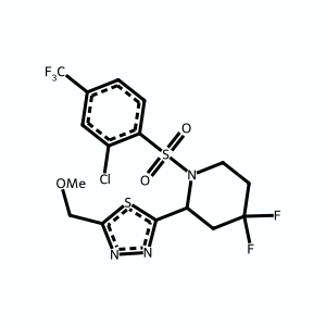 COCc1nnc(C2CC(F)(F)CCN2S(=O)(=O)c2ccc(C(F)(F)F)cc2Cl)s1